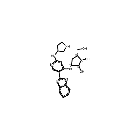 OC[C@H]1C[C@@H](Nc2nc(NC3CCNC3)ncc2-c2nc3ccccc3s2)[C@H](O)[C@@H]1O